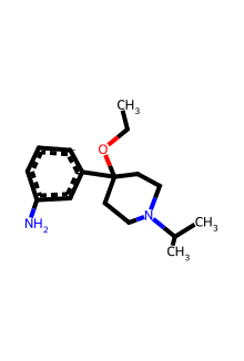 CCOC1(c2[c]ccc(N)c2)CCN(C(C)C)CC1